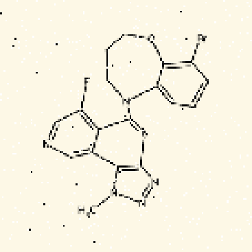 Cn1nnc2nc(N3CCCOc4c(Br)cccc43)c3c(F)cncc3c21